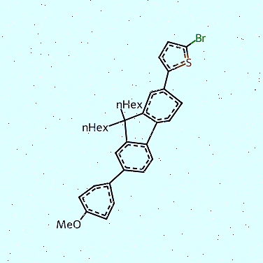 CCCCCCC1(CCCCCC)c2cc(-c3ccc(OC)cc3)ccc2-c2ccc(-c3ccc(Br)s3)cc21